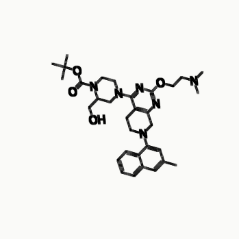 Cc1cc(N2CCc3c(nc(OCCN(C)C)nc3N3CCN(C(=O)OC(C)(C)C)C(CO)C3)C2)c2ccccc2c1